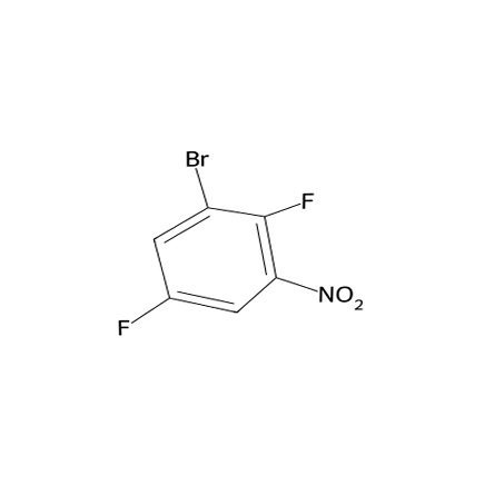 O=[N+]([O-])c1cc(F)cc(Br)c1F